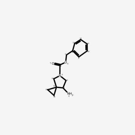 NC1CN(C(=O)OCc2ccccc2)CC12CC2